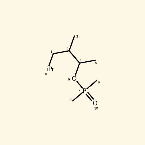 CC(C)CC(C)C(C)OP(C)(C)=O